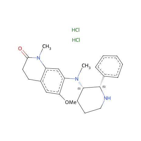 COc1cc2c(cc1N(C)[C@H]1CCCN[C@H]1c1ccccc1)N(C)C(=O)CC2.Cl.Cl